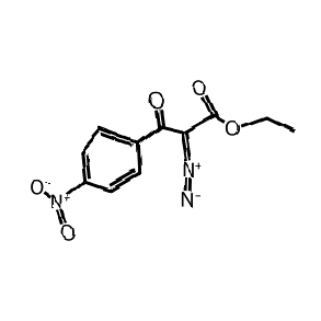 CCOC(=O)C(=[N+]=[N-])C(=O)c1ccc([N+](=O)[O-])cc1